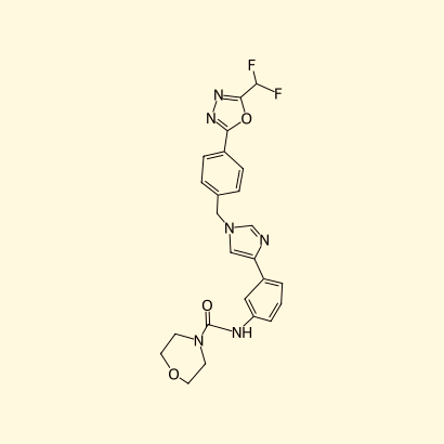 O=C(Nc1cccc(-c2cn(Cc3ccc(-c4nnc(C(F)F)o4)cc3)cn2)c1)N1CCOCC1